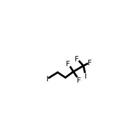 FC(F)(I)C(F)(F)CCI